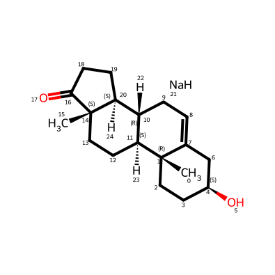 C[C@]12CC[C@H](O)CC1=CC[C@@H]1[C@@H]2CC[C@]2(C)C(=O)CC[C@@H]12.[NaH]